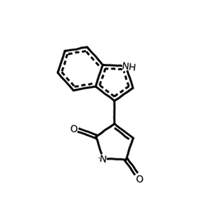 O=C1C=C(c2c[nH]c3ccccc23)C(=O)[N]1